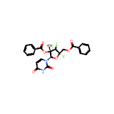 C[C@@]1(OC(=O)c2ccccc2)C(F)[C@@](F)(COC(=O)c2ccccc2)O[C@H]1n1ccc(=O)[nH]c1=O